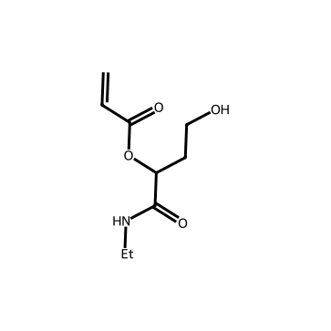 C=CC(=O)OC(CCO)C(=O)NCC